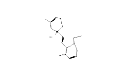 CCC1CC=CC(C)C1C=CC1(OO)CCC=C(C)C1